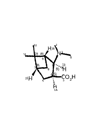 CN(C)[C@H]1[C@@H](C(=O)O)C[C@H]2C[C@@H]1C2(C)C